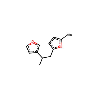 CC(Cc1ccc(C(C)(C)C)o1)c1ccoc1